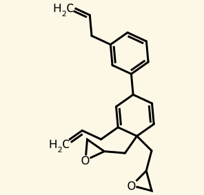 C=CCC1=CC(c2cccc(CC=C)c2)C=CC1(CC1CO1)CC1CO1